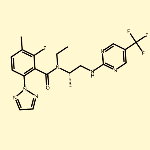 CCN(C(=O)c1c(-n2nccn2)ccc(C)c1F)[C@@H](C)CNc1ncc(C(F)(F)F)cn1